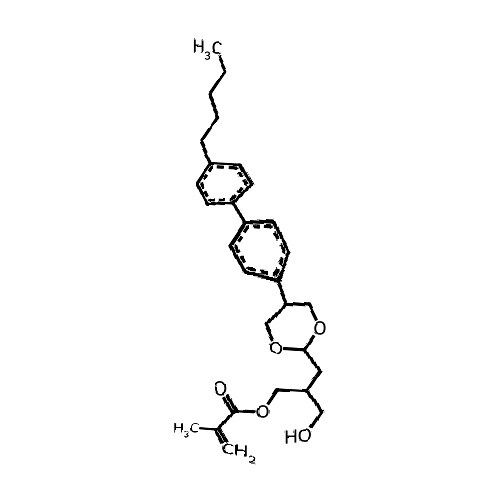 C=C(C)C(=O)OCC(CO)CC1OCC(c2ccc(-c3ccc(CCCCC)cc3)cc2)CO1